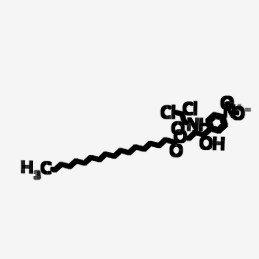 CCCCCCCCCCCCCCCCCC(=O)OCC(NC(=O)C(Cl)Cl)C(O)c1ccc([N+](=O)[O-])cc1